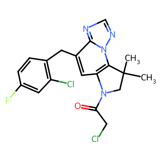 CC1(C)CN(C(=O)CCl)c2cc(Cc3ccc(F)cc3Cl)c3ncnn3c21